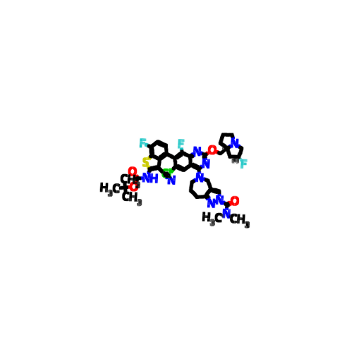 CN(C)C(=O)n1cc2c(n1)CCCN(c1nc(OC[C@@]34CCCN3C[C@H](F)C4)nc3c(F)c(-c4ccc(F)c5sc(NC(=O)OC(C)(C)C)c(C#N)c45)c(Cl)cc13)C2